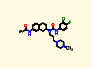 CC(C)C(=O)Nc1ccc2c(c1)CC(N(CCCN1CCN(C)CC1)C(=O)Nc1ccc(F)c(Cl)c1)CC2